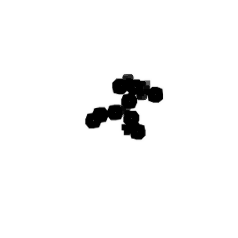 CC1(C)c2ccccc2-c2ccc(N(c3ccc(-c4ccc5ccccc5c4)cc3)c3ccc(-c4c5oc(-c6ccccc6)nc5cc5oc6ccccc6c45)cc3)cc21